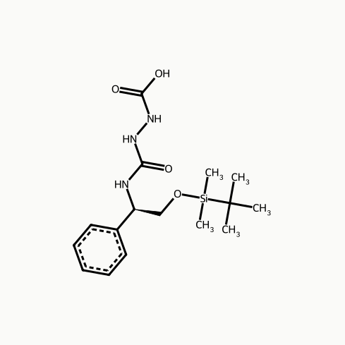 CC(C)(C)[Si](C)(C)OC[C@H](NC(=O)NNC(=O)O)c1ccccc1